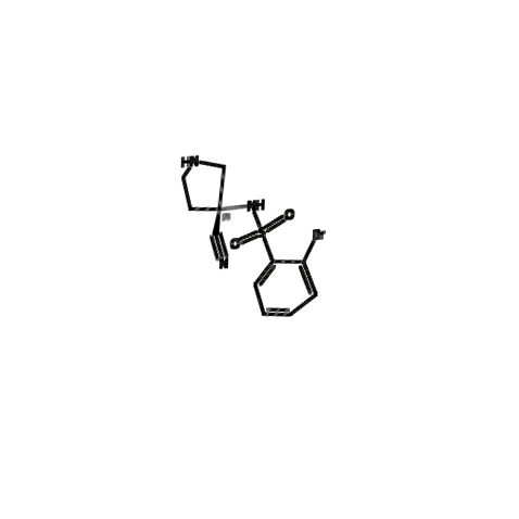 N#C[C@@]1(NS(=O)(=O)c2ccccc2Br)CCNC1